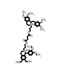 COc1ccc(CC2c3cc(OC)c(OC)cc3CC[N+]2(C)CCCOC(=O)CCC(=O)OCCC[N+]2(C)CCc3cc(CO)c(CO)cc3C2c2ccc(OC)c(OC)c2)cc1OC